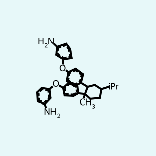 CC(C)C1CCC(C)(c2ccc(Oc3cccc(N)c3)cc2)C(c2ccc(Oc3cccc(N)c3)cc2)C1